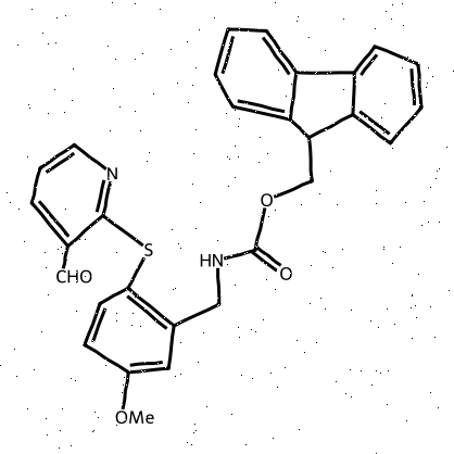 COc1ccc(Sc2ncccc2C=O)c(CNC(=O)OCC2c3ccccc3-c3ccccc32)c1